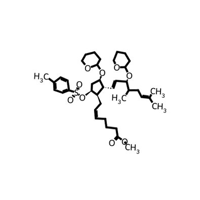 COC(=O)CCC/C=C\C[C@@H]1[C@@H](/C=C/[C@H](OC2CCCCO2)C(C)CC=C(C)C)[C@H](OC2CCCCO2)C[C@@H]1OS(=O)(=O)c1ccc(C)cc1